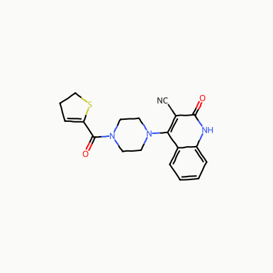 N#Cc1c(N2CCN(C(=O)C3=CCCS3)CC2)c2ccccc2[nH]c1=O